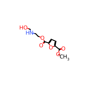 COC(=O)c1ccc(C(=O)OCCNCO)o1